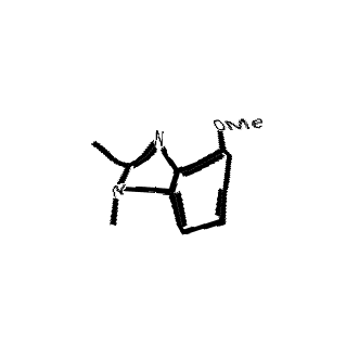 COc1cccc2c1nc(C)n2C